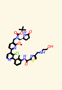 COc1nc(-c2ccnc(-c3cccc(NC(=O)c4nc(CNCCO)cs4)c3C)c2Cl)ccc1CN(C[C@@H]1CCC(=O)N1)C(=O)OC(C)(C)C